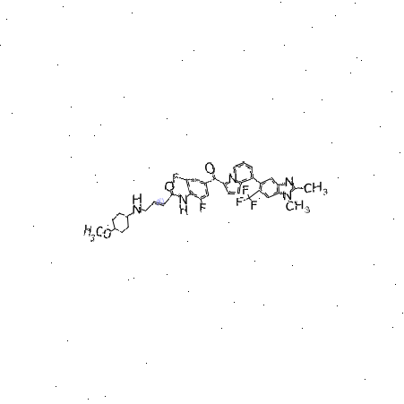 COC1CCC(NC/C=C/C(=O)Nc2c(F)cc(C(=O)c3ccc4c(-c5cc6nc(C)n(C)c6cc5C(F)(F)F)cccn34)cc2F)CC1